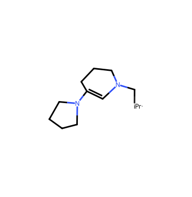 C[C](C)CN1C=C(N2CCCC2)CCC1